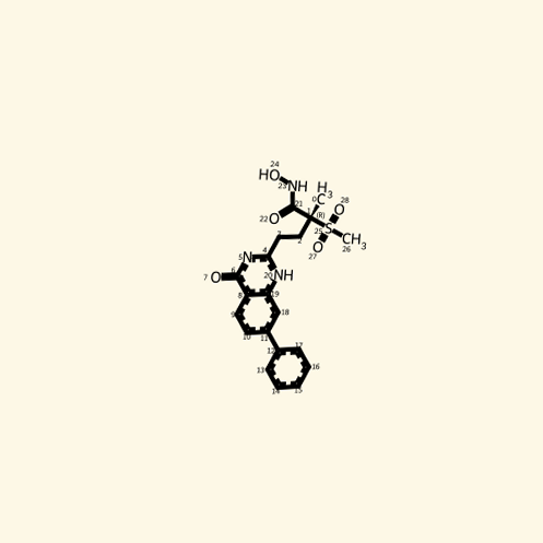 C[C@@](CCc1nc(=O)c2ccc(-c3ccccc3)cc2[nH]1)(C(=O)NO)S(C)(=O)=O